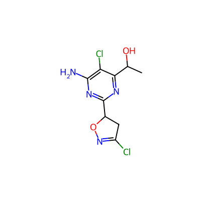 CC(O)c1nc(C2CC(Cl)=NO2)nc(N)c1Cl